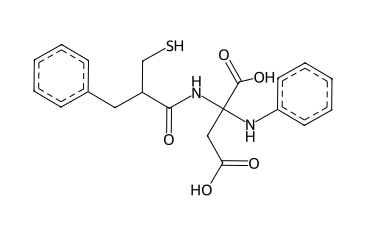 O=C(O)CC(NC(=O)C(CS)Cc1ccccc1)(Nc1ccccc1)C(=O)O